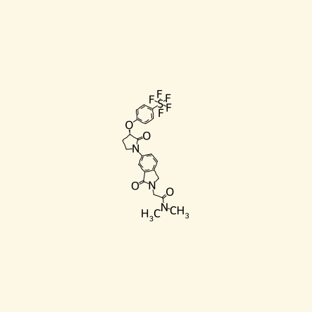 CN(C)C(=O)CN1Cc2ccc(N3CC[C@@H](Oc4ccc(S(F)(F)(F)(F)F)cc4)C3=O)cc2C1=O